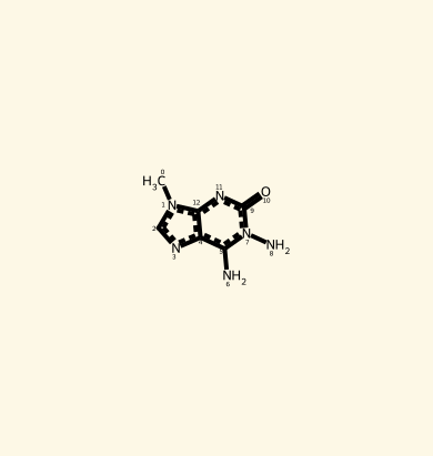 Cn1cnc2c(N)n(N)c(=O)nc21